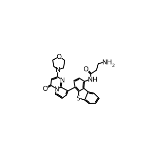 NCCC(=O)Nc1ccc(-c2cccn3c(=O)cc(N4CCOCC4)nc23)c2sc3ccccc3c12